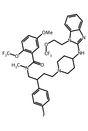 COc1ccc(OC(F)(F)F)c(C(=O)N(C)CC(CCN2CCC(Nc3nc4ccccc4n3CCOC(F)(F)F)CC2)c2ccc(F)cc2)c1